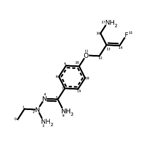 CCN(N)/N=C(\N)c1ccc(OC/C(=C/F)CN)cc1